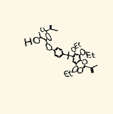 C=C(C)C(=O)Oc1c(OCC)cc(C(C)(C)c2ccc(OC(OC(=O)C(=C)C)C(C)O)cc2)c(OCC)c1OCC